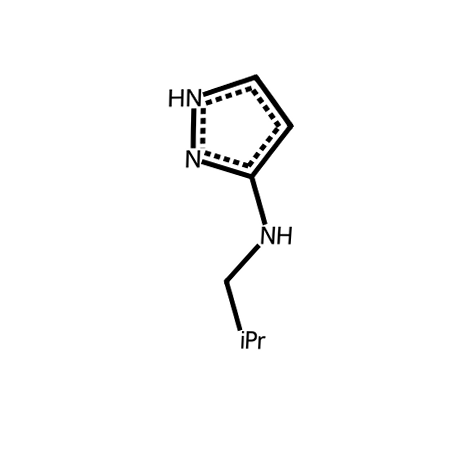 CC(C)CNc1cc[nH]n1